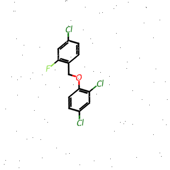 Fc1cc(Cl)ccc1COc1ccc(Cl)cc1Cl